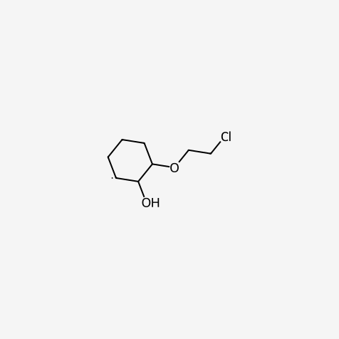 OC1[CH]CCCC1OCCCl